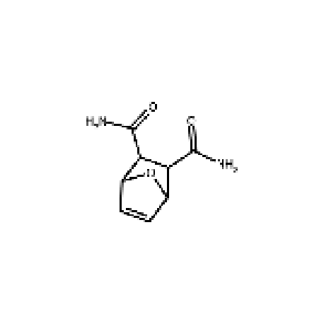 NC(=O)C1C2C=CC(O2)C1C(N)=O